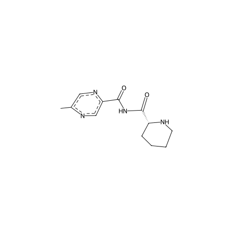 Cc1cnc(C(=O)NC(=O)[C@H]2CCCCN2)cn1